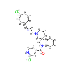 O=C(c1ccnc(Cl)c1)N1CC2(CCCN(C/C=C/C3=CC=C(Cl)CC=C3)C2)c2ccccc21